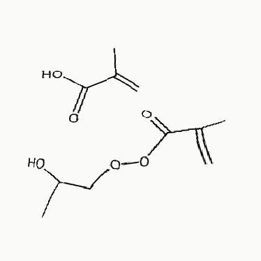 C=C(C)C(=O)O.C=C(C)C(=O)OOCC(C)O